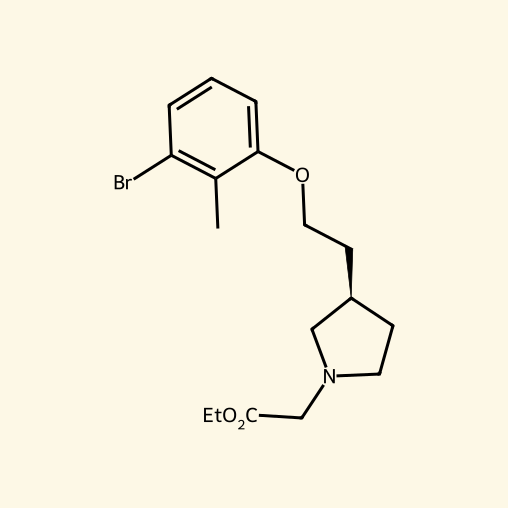 CCOC(=O)CN1CC[C@H](CCOc2cccc(Br)c2C)C1